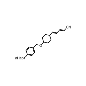 CCCCCCCc1ccc(COC2CCC(C=CC=CC#N)CC2)cc1